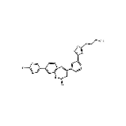 O=C1CC(c2cccc(-c3noc(CCCO)n3)c2)=Nc2ccc(-c3ccc(F)cc3)cc2N1